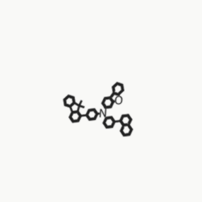 CC1(C)c2ccccc2-c2cccc(-c3ccc(N(c4cccc(-c5cccc6ccccc56)c4)c4ccc5c(c4)oc4ccccc45)cc3)c21